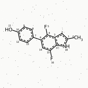 Cc1cc2c(F)c(-c3ccc(O)cc3)cc(F)c2[nH]1